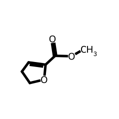 COC(=O)C1=CCCO1